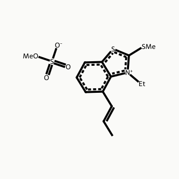 CC=Cc1cccc2sc(SC)[n+](CC)c12.COS(=O)(=O)[O-]